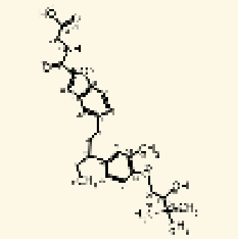 CCC(CCc1ccc2oc(C(=O)NCC(=O)O)cc2c1)c1ccc(OCC(O)C(C)(C)C)c(C)c1